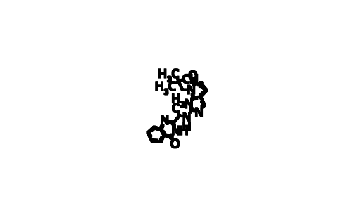 CC(Nc1ncc2ccc(=O)n(CC(C)(C)C)c2n1)c1nc2ccccc2c(=O)[nH]1